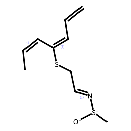 C=C/C=C(\C=C/C)SC/C=N/[S+](C)[O-]